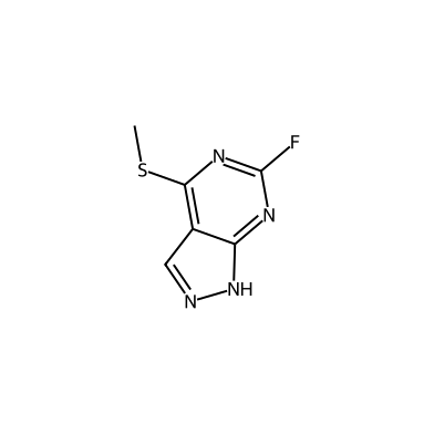 CSc1nc(F)nc2[nH]ncc12